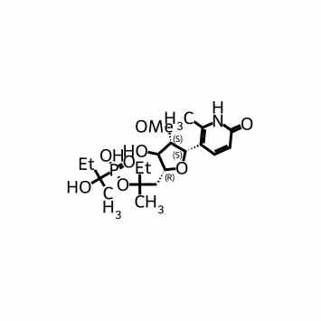 CCC(C)(C[C@H]1O[C@@H](c2ccc(=O)[nH]c2C)[C@@H](OC)C1O)OP(=O)(O)C(C)(O)CC